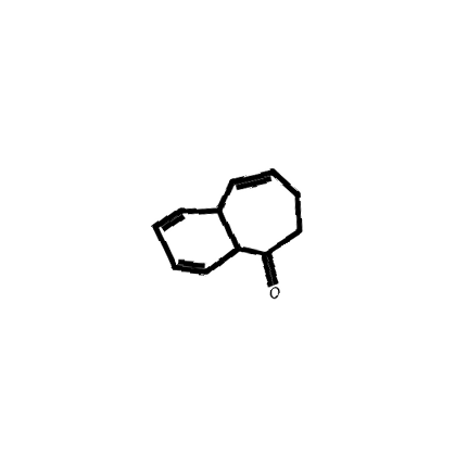 O=C1CCC=CC2C=CC=CC12